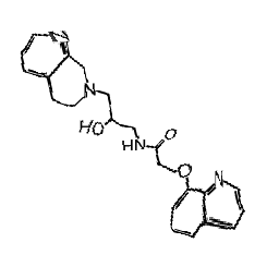 O=C(COc1cccc2cccnc12)NCC(O)CN1CCc2cccnc2C1